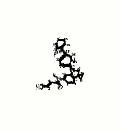 CN(C(=O)CCO)c1ccc2c(c1)N(c1ncc(-c3ccccc3F)cn1)CC21CC1